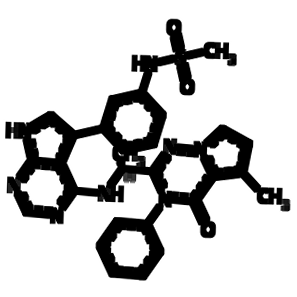 Cc1ccn2nc([C@H](C)Nc3ncnc4[nH]cc(-c5cccc(NS(C)(=O)=O)c5)c34)n(-c3ccccc3)c(=O)c12